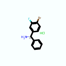 Cl.N[C@@H](c1ccccc1)c1ccc(Br)c(F)c1